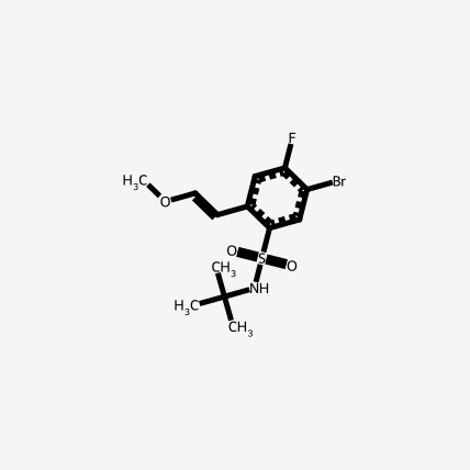 COC=Cc1cc(F)c(Br)cc1S(=O)(=O)NC(C)(C)C